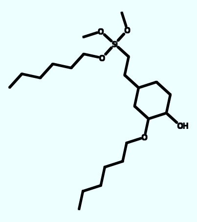 CCCCCCOC1CC(CC[Si](OC)(OC)OCCCCCC)CCC1O